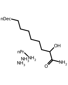 CCCCCCCCCCCCCCCCC(O)C(N)=O.CCCN.N.N